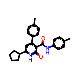 Cc1ccc(NC(=O)c2c(-c3ccc(C)cc3)cc(C3CCCC3)[nH]c2=O)cc1